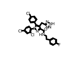 O=C(NCCc1ccc(F)cc1)c1nn(-c2ccc(Cl)cc2Cl)c(-c2ccc(Cl)cc2)c1Cc1nn[nH]n1